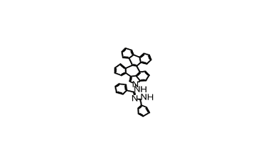 N=C(/N=C(\Nn1cc2c3c(cccc31)-c1c(c3ccccc3c3ccccc13)-c1ccccc1-2)c1ccccc1)c1ccccc1